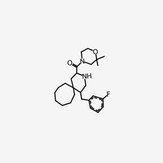 CC1(C)CN(C(=O)C2CC3(CCCCCCC3)C(Cc3cccc(F)c3)CN2)CCO1